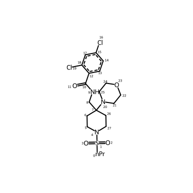 CCCS(=O)(=O)N1CCC(CNC(=O)c2ccc(Cl)cc2Cl)(N2CCOCC2)CC1